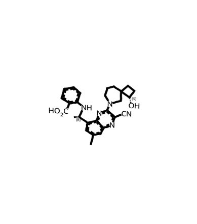 Cc1cc([C@@H](C)Nc2ccccc2C(=O)O)c2nc(N3CCCC4(CC[C@@H]4O)C3)c(C#N)nc2c1